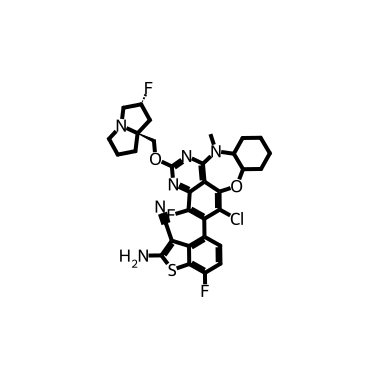 CN1c2nc(OC[C@@]34CCCN3C[C@H](F)C4)nc3c(F)c(-c4ccc(F)c5sc(N)c(C#N)c45)c(Cl)c(c23)OC2CCCCC21